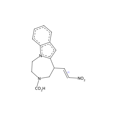 O=C(O)N1CCn2c(cc3ccccc32)C(/C=C/[N+](=O)[O-])C1